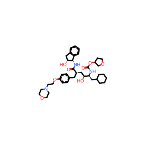 O=C(N[C@@H](CC1CCCCC1)[C@@H](O)C[C@@H](Cc1ccc(OCCN2CCOCC2)cc1)C(=O)N[C@H]1c2ccccc2C[C@H]1O)O[C@H]1CCOC1